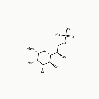 CO[C@@H]1O[C@H]([C@H](O)COP(=O)(O)O)[C@@H](O)[C@H](O)[C@@H]1O